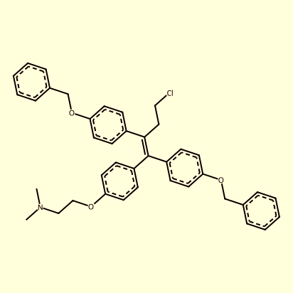 CN(C)CCOc1ccc(C(=C(CCCl)c2ccc(OCc3ccccc3)cc2)c2ccc(OCc3ccccc3)cc2)cc1